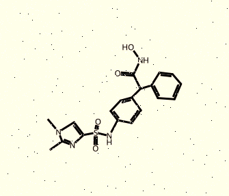 Cc1nc(S(=O)(=O)Nc2ccc(C(C(=O)NO)c3ccccc3)cc2)cn1C